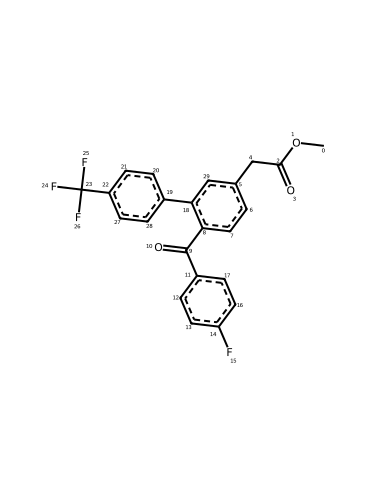 COC(=O)Cc1ccc(C(=O)c2ccc(F)cc2)c(-c2ccc(C(F)(F)F)cc2)c1